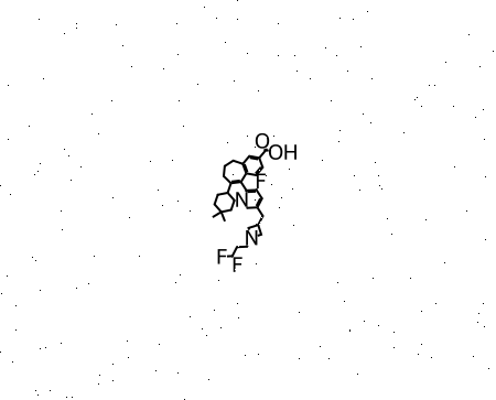 CC1(C)CCC(C2=C(c3ncc(CC4CN(CCC(F)F)C4)cc3F)c3ccc(C(=O)O)cc3CCC2)CC1